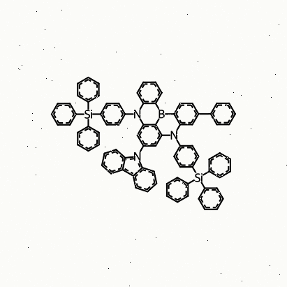 c1ccc(-c2ccc3c(c2)N(c2ccc([Si](c4ccccc4)(c4ccccc4)c4ccccc4)cc2)c2cc(-n4c5ccccc5c5ccccc54)cc4c2B3c2ccccc2N4c2ccc([Si](c3ccccc3)(c3ccccc3)c3ccccc3)cc2)cc1